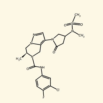 C[C@H]1Cn2ncc(N3CC(N(C)S(C)(=O)=O)CC3=O)c2CN1C(=O)Nc1ccc(F)c(Cl)c1